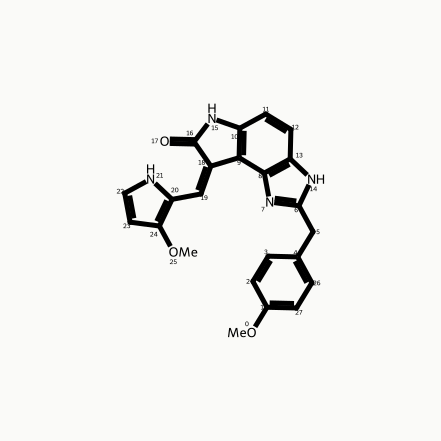 COc1ccc(Cc2nc3c4c(ccc3[nH]2)NC(=O)C4=Cc2[nH]ccc2OC)cc1